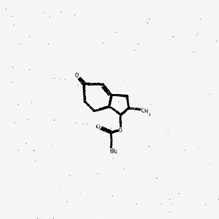 CC1CC2=CC(=O)CCC2C1OC(=O)C(C)(C)C